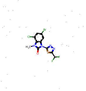 Cn1c(=O)n(-c2nnc(C(F)F)s2)c2cc(Br)cc(Cl)c21